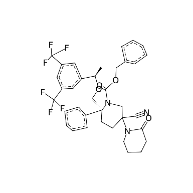 C[C@@H](OC[C@@]1(c2ccccc2)CCC(C#N)(N2CCCCC2=O)CN1C(=O)OCc1ccccc1)c1cc(C(F)(F)F)cc(C(F)(F)F)c1